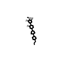 CCCc1ccc(-c2ccc(-c3ccc(-c4cc(F)c(NC)c(F)c4)c(F)c3)cc2)cc1